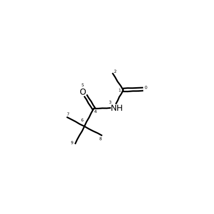 C=C(C)NC(=O)C(C)(C)C